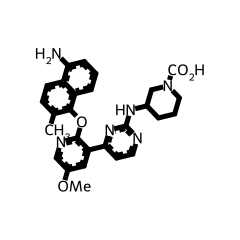 COc1cnc(Oc2c(C)ccc3c(N)cccc23)c(-c2ccnc(NC3CCCN(C(=O)O)C3)n2)c1